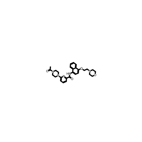 CC(=O)N1CCN(c2cccc(C(=O)Nc3ccc(OCCN4CCOCC4)c4ccccc34)n2)CC1